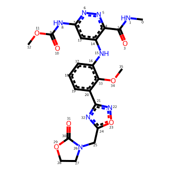 CNC(=O)c1nnc(NC(=O)OC)cc1Nc1cccc(-c2noc(CN3CCOC3=O)n2)c1OC